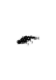 C[C@]12CCC(OCCO)C=C1CC[C@@H]1[C@H]2CC[C@@]2(C)[C@H]1CCC2(O)c1ccoc1